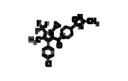 Cc1noc(C2CCN(C(=O)c3c(-c4ccc(Cl)cc4)c(C)c(C(F)(F)F)n3C3CC3)CC2)n1